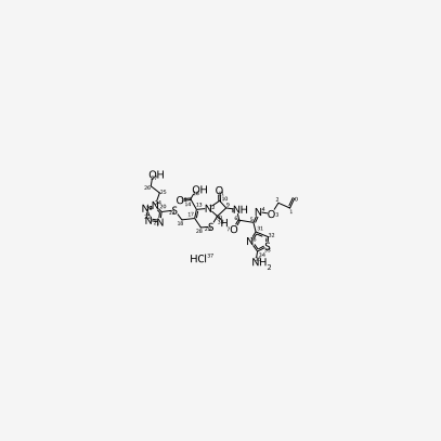 C=CCON=C(C(=O)NC1C(=O)N2C(C(=O)O)=C(CSc3nnnn3CCO)CS[C@@H]12)c1csc(N)n1.Cl